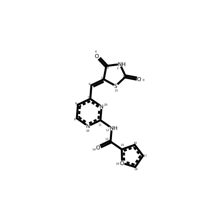 O=C1NC(=O)C(=Cc2ccnc(NC(=O)c3ccco3)n2)S1